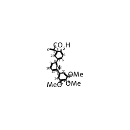 C=C(C(=O)O)c1cccc(-c2cccc(-c3cc(OC)c(OC)c(OC)c3)n2)c1